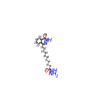 NNC(=O)CCCCCCCCCCc1n[nH]c(=O)c2ccccc12